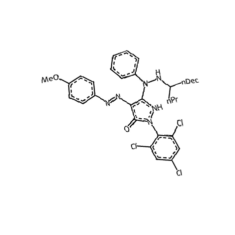 CCCCCCCCCCC(CCC)NN(c1ccccc1)c1[nH]n(-c2c(Cl)cc(Cl)cc2Cl)c(=O)c1N=Nc1ccc(OC)cc1